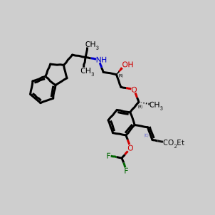 CCOC(=O)/C=C/c1c(OC(F)F)cccc1[C@@H](C)OC[C@H](O)CNC(C)(C)CC1Cc2ccccc2C1